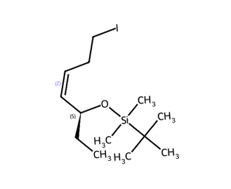 CC[C@@H](/C=C\CCI)O[Si](C)(C)C(C)(C)C